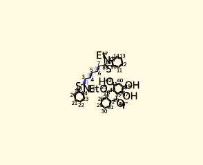 CCN1\C(=C/C=C/C=C/c2sc3ccccc3[n+]2CC)Sc2ccccc21.O=C1c2ccccc2C(=O)c2c(O)c(O)cc(O)c21.[I-]